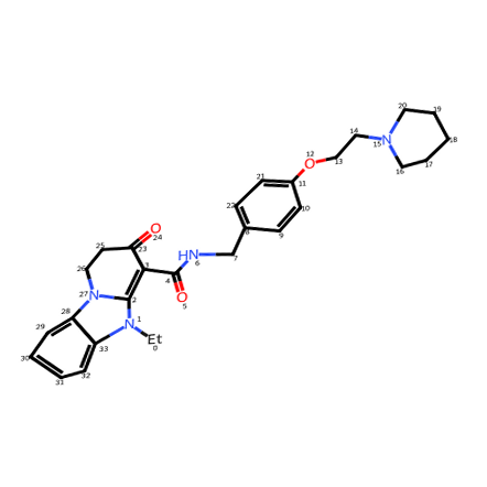 CCN1C2=C(C(=O)NCc3ccc(OCCN4CCCCC4)cc3)C(=O)CCN2c2ccccc21